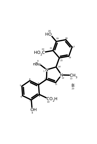 CCCCN1C(c2cccc(O)c2C(=O)O)=CN(C)C1c1cccc(O)c1C(=O)O.[B]